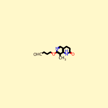 Cc1c(OCCCC=O)ncc2c1NC(=O)CC2